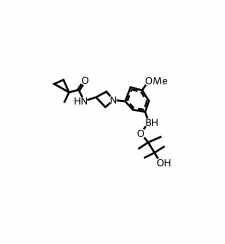 COc1cc(BOC(C)(C)C(C)(C)O)cc(N2CC(NC(=O)C3(C)CC3)C2)c1